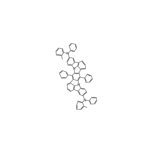 Cc1ccccc1N(c1ccccc1)c1ccc2c(c1)c1cccc3c4c(-c5ccccc5)c5c(c(-c6ccccc6)c4n2c13)c1cccc2c3cc(N(c4ccccc4)c4ccccc4C)ccc3n5c21